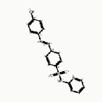 O=S(=O)(Nc1ccccn1)C1=CCC(/N=N/c2ccc(O)cc2)C=C1